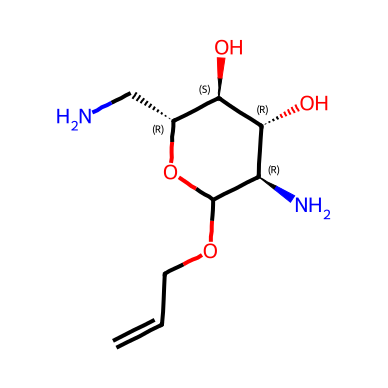 C=CCOC1O[C@H](CN)[C@@H](O)[C@H](O)[C@H]1N